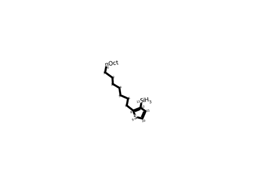 CCCCCCCCCCCCCCCc1sccc1[SiH3]